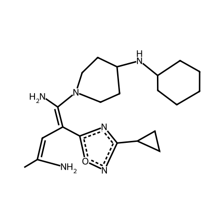 C/C(N)=C/C(=C(\N)N1CCC(NC2CCCCC2)CC1)c1nc(C2CC2)no1